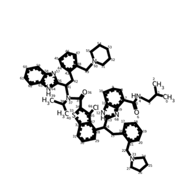 CC(C)CNC(=O)c1cccc2[nH]c(C(Cc3ccccc3CN3CCCC3)c3cccc4sc(C(=O)N(C(C)C)C(Cc5ccccc5CN5CCCCC5)c5nc6ccccc6[nH]5)c(Cl)c34)nc12